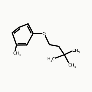 Cc1cccc(OCCC(C)(C)C)c1